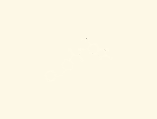 Nc1cc2[nH]c(=O)oc2cc1NC(=O)C(=O)N1CCC(Cc2ccccc2)CC1